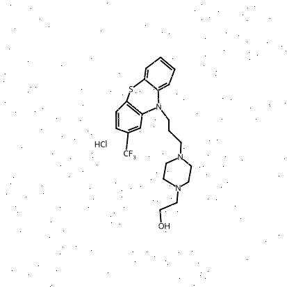 Cl.OCCN1CCN(CCCN2c3ccccc3Sc3ccc(C(F)(F)F)cc32)CC1